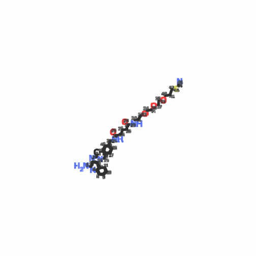 Cc1nc2c(N)nc3ccccc3c2n1Cc1ccc(CNC(=O)CCCC(=O)NCCCOCCOCCOCCCSC#N)cc1